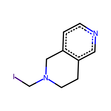 ICN1CCc2cnccc2C1